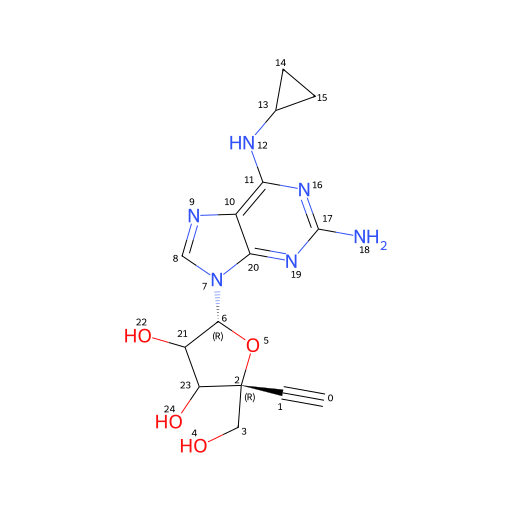 C#C[C@]1(CO)O[C@@H](n2cnc3c(NC4CC4)nc(N)nc32)C(O)C1O